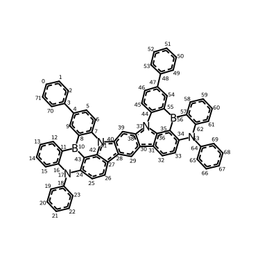 c1ccc(-c2ccc3c(c2)B2c4ccccc4N(c4ccccc4)c4ccc5c6cc7c8ccc9c%10c8n(c7cc6n-3c5c42)-c2ccc(-c3ccccc3)cc2B%10c2ccccc2N9c2ccccc2)cc1